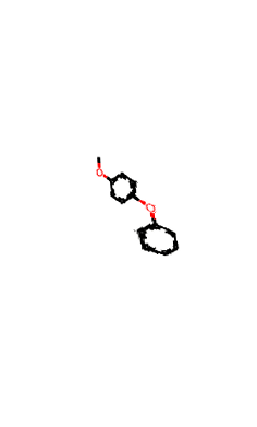 COc1ccc(Oc2[c]cccc2)cc1